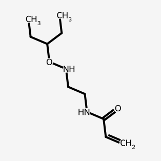 C=CC(=O)NCCNOC(CC)CC